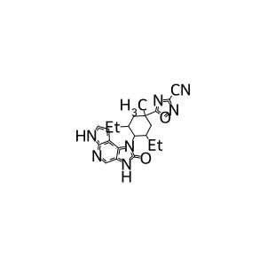 CCC1CC(C)(c2nc(C#N)no2)CC(CC)C1n1c(=O)[nH]c2cnc3[nH]ccc3c21